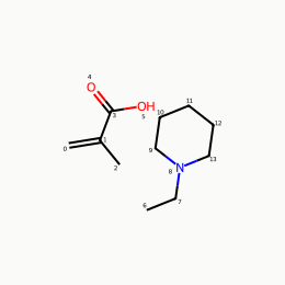 C=C(C)C(=O)O.CCN1CCCCC1